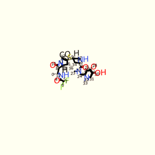 C[C@@H](NC(=O)C(F)F)[C@H]1C(=O)N2C(C(=O)O)=C(S[C@@H]3CN[C@H](C(=O)N(C)Cc4cc(=O)c(O)cn4C)C3)[C@H](C)[C@@H]12